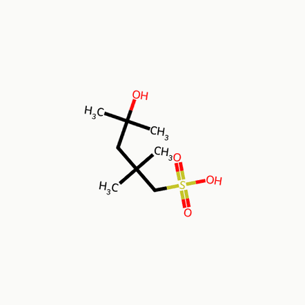 CC(C)(O)CC(C)(C)CS(=O)(=O)O